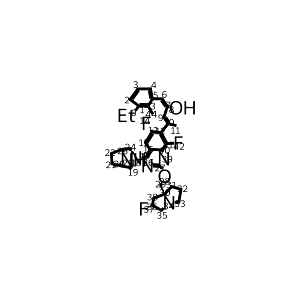 CCc1cccc(/C=C(O)\C=C(/C)c2c(F)cc3c(N4CC5CCC(C4)N5)nc(OC[C@@]45CCCN4C[C@H](F)C5)nc3c2F)c1C